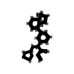 C=CC(=O)N(CC1CCCC1)c1cccc(-c2cccc3[nH]ccc23)c1